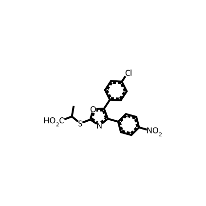 CC(Sc1nc(-c2ccc([N+](=O)[O-])cc2)c(-c2ccc(Cl)cc2)o1)C(=O)O